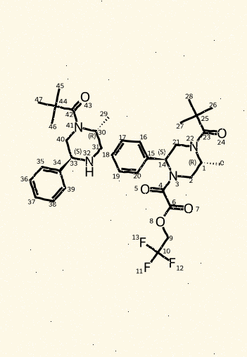 C[C@@H]1CN(C(=O)C(=O)OCC(F)(F)F)[C@@H](c2ccccc2)CN1C(=O)C(C)(C)C.C[C@@H]1CN[C@@H](c2ccccc2)CN1C(=O)C(C)(C)C